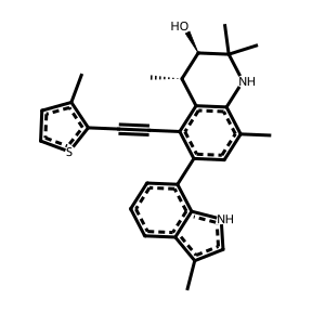 Cc1ccsc1C#Cc1c(-c2cccc3c(C)c[nH]c23)cc(C)c2c1[C@H](C)[C@@H](O)C(C)(C)N2